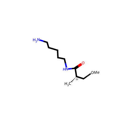 COC[C@H](C)C(=O)NCCCCCN